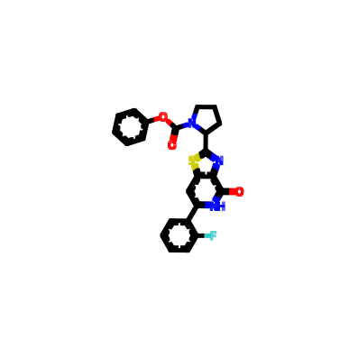 O=C(Oc1ccccc1)N1CCCC1c1nc2c(=O)[nH]c(-c3ccccc3F)cc2s1